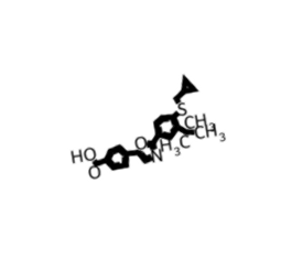 CC(C)(C)c1cc(-c2ncc(-c3ccc(C(=O)O)cc3)o2)ccc1SCC1CC1